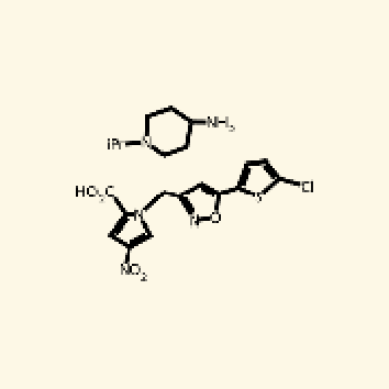 CC(C)N1CCC(N)CC1.O=C(O)c1cc([N+](=O)[O-])cn1Cc1cc(-c2ccc(Cl)s2)on1